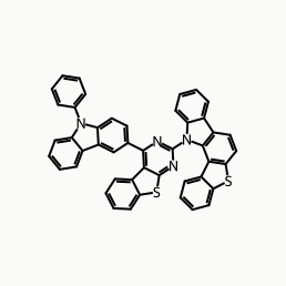 c1ccc(-n2c3ccccc3c3cc(-c4nc(-n5c6ccccc6c6ccc7sc8ccccc8c7c65)nc5sc6ccccc6c45)ccc32)cc1